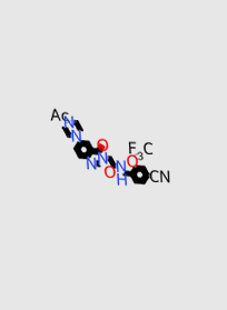 CC(=O)N1CCN(c2ccc3ncn(CC(=O)NCc4ccc(C#N)cc4OCC(F)(F)F)c(=O)c3c2)CC1